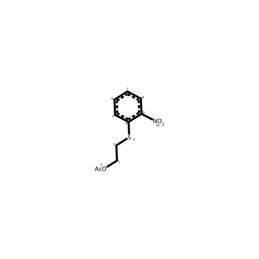 CC(=O)OCCSc1ccccc1[N+](=O)[O-]